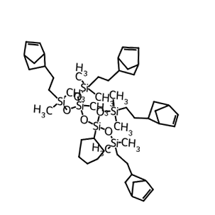 C[Si](C)(CCC1CC2C=CC1C2)O[Si](C)(O[Si](C)(C)CCC1CC2C=CC1C2)O[Si](O[Si](C)(C)CCC1CC2C=CC1C2)(O[Si](C)(C)CCC1CC2C=CC1C2)C1CCCCC1